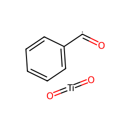 O=[C]c1ccccc1.[O]=[Ti]=[O]